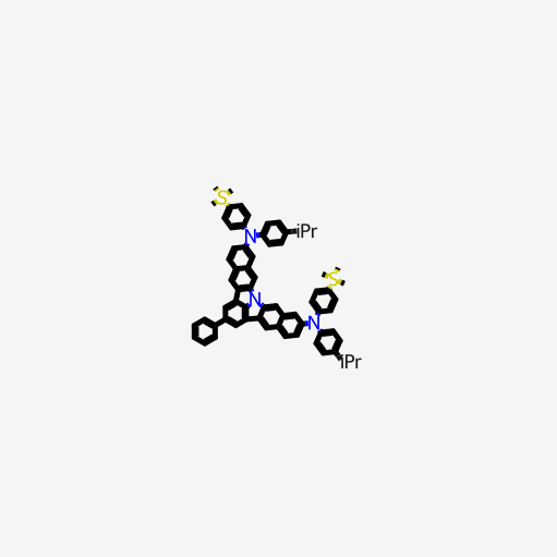 CC(C)c1ccc(N(c2ccc(S(C)(C)C)cc2)c2ccc3cc4c5cc(-c6ccccc6)cc6c7cc8ccc(N(c9ccc(C(C)C)cc9)c9ccc(S(C)(C)C)cc9)cc8cc7n(c4cc3c2)c56)cc1